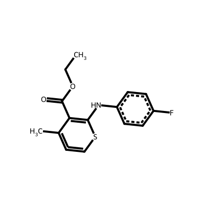 CCOC(=O)C1=C(Nc2ccc(F)cc2)SC=C=C1C